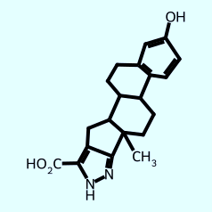 CC12CCC3c4ccc(O)cc4CCC3C1Cc1c2n[nH]c1C(=O)O